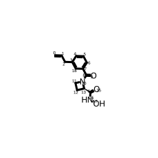 C=CCc1cccc(C(=O)N2CC[C@@H]2C(=O)NO)c1